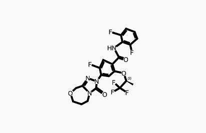 C[C@H](Oc1cc(-n2nc3n(c2=O)CCCOC3)c(F)cc1C(=O)Nc1c(F)cccc1F)C(F)(F)F